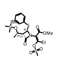 CCC(OS(C)(=O)=O)=C(C(=O)OC)N1C(=O)[C@H]([C@@H](C)O[Si](C)(C)C(C)(C)C)[C@H]1Sc1ccccc1